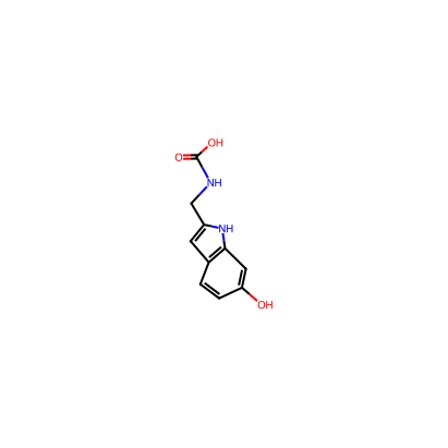 O=C(O)NCc1cc2ccc(O)cc2[nH]1